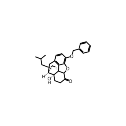 CC(C)CN1CC[C@]23c4c5ccc(OCc6ccccc6)c4OC2C(=O)CC[C@@]3(O)[C@H]1C5